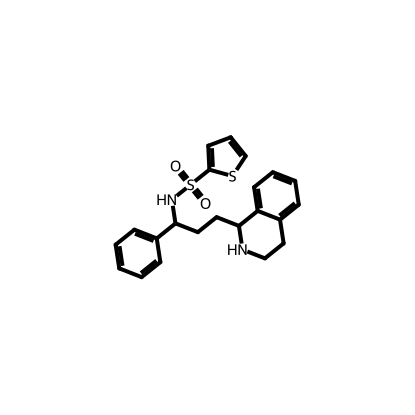 O=S(=O)(NC(CCC1NCCc2ccccc21)c1ccccc1)c1cccs1